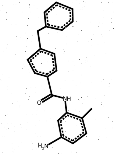 Cc1ccc(N)cc1NC(=O)c1ccc(Cc2ccccc2)cc1